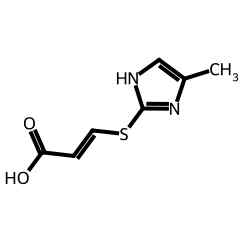 Cc1c[nH]c(SC=CC(=O)O)n1